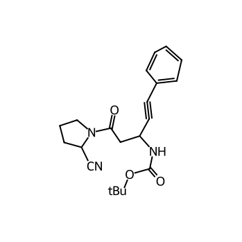 CC(C)(C)OC(=O)NC(C#Cc1ccccc1)CC(=O)N1CCCC1C#N